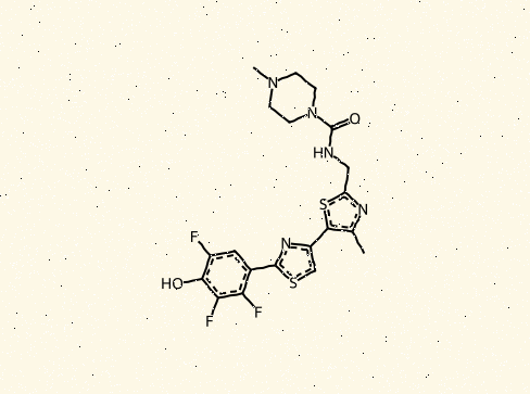 Cc1nc(CNC(=O)N2CCN(C)CC2)sc1-c1csc(-c2cc(F)c(O)c(F)c2F)n1